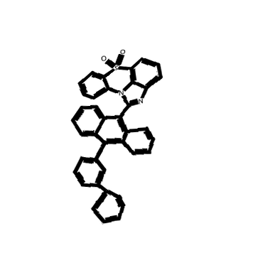 O=S1(=O)c2ccccc2-n2c(-c3c4ccccc4c(-c4cccc(-c5ccccc5)c4)c4ccccc34)nc3cccc1c32